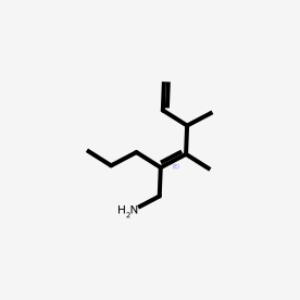 C=CC(C)/C(C)=C(/CN)CCC